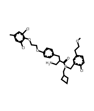 COCCc1ccc(Cl)c(CN(CC2CCC2)C(=O)C(CN)Cc2ccc(OCCOc3c(Cl)cc(C)cc3Cl)cc2)c1